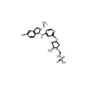 CO[C@H]1Cc2cc(Cl)ccc2[C@H]1Nc1cc(O[C@@H]2C[C@@H](CNS(=O)(=O)O)[C@@H](O)C2)ncn1